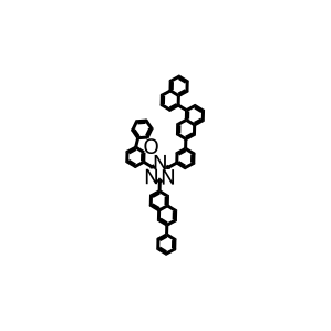 c1ccc(-c2ccc3cc(-c4nc(-c5cccc(-c6ccc7c(-c8cccc9ccccc89)cccc7c6)c5)nc(-c5cccc6c5oc5ccccc56)n4)ccc3c2)cc1